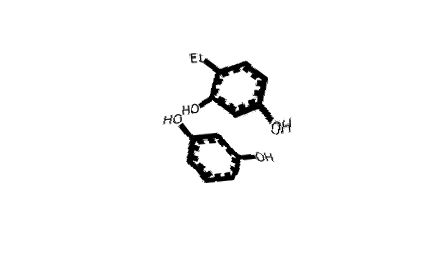 CCc1ccc(O)cc1O.Oc1cccc(O)c1